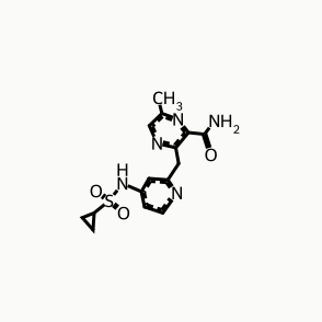 Cc1cnc(Cc2cc(NS(=O)(=O)C3CC3)ccn2)c(C(N)=O)n1